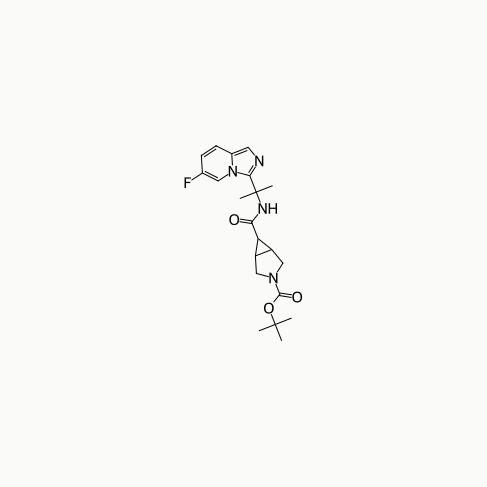 CC(C)(C)OC(=O)N1CC2C(C1)C2C(=O)NC(C)(C)c1ncc2ccc(F)cn12